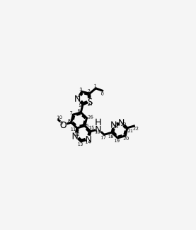 CCc1cnc(-c2cc(OC)c3ncnc(NCc4ccc(C)nn4)c3c2)s1